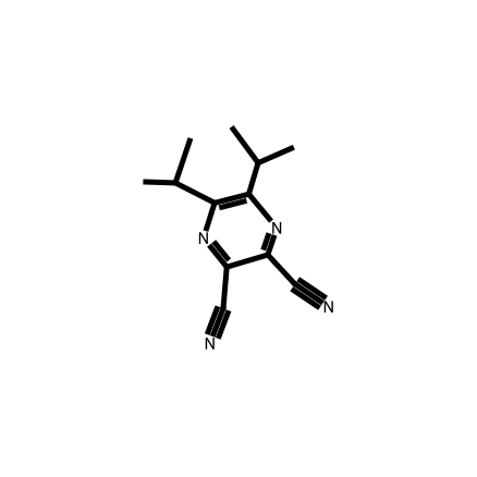 CC(C)c1nc(C#N)c(C#N)nc1C(C)C